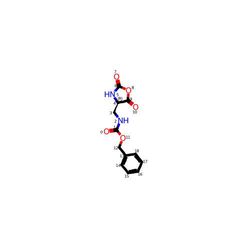 O=C(NC[C@H]1NC(=O)OC1=O)OCc1ccccc1